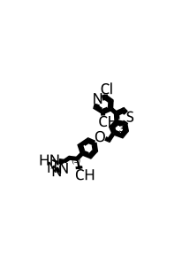 C#C[C@@H](Cc1nnn[nH]1)c1ccc(OCc2ccc3scc(-c4cc(Cl)ncc4C)c3c2)cc1